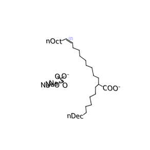 CCCCCCCC/C=C\CCCCCCCCC(CCCCCCCCCCCCCCCC)C(=O)[O-].O=S(=O)([O-])[O-].[Na+].[Na+].[Na+]